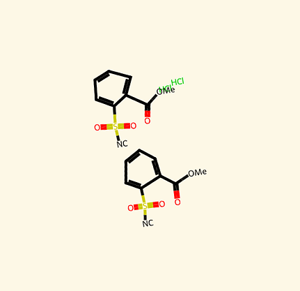 Cl.Cl.[C-]#[N+]S(=O)(=O)c1ccccc1C(=O)OC.[C-]#[N+]S(=O)(=O)c1ccccc1C(=O)OC